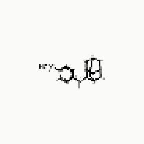 O=C(O)c1ccc(NC2C3CC4CC(C3)CC2C4)cc1